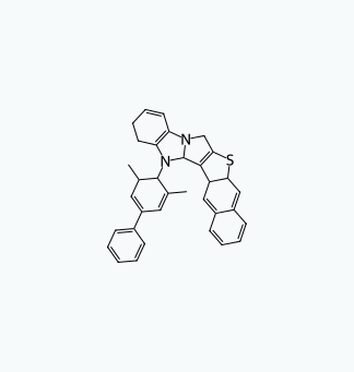 CC1=CC(c2ccccc2)=CC(C)C1N1C2=C(C=CCC2)N2CC3=C(C4C=c5ccccc5=CC4S3)C21